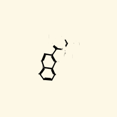 CC(C)[C@@H](C(=O)O)N(O)C(=O)c1ccc2ccccc2c1